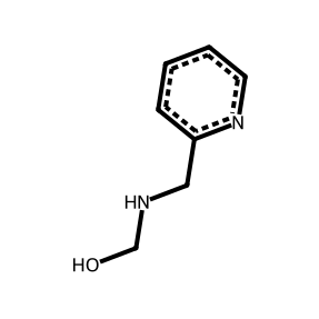 OCNCc1ccccn1